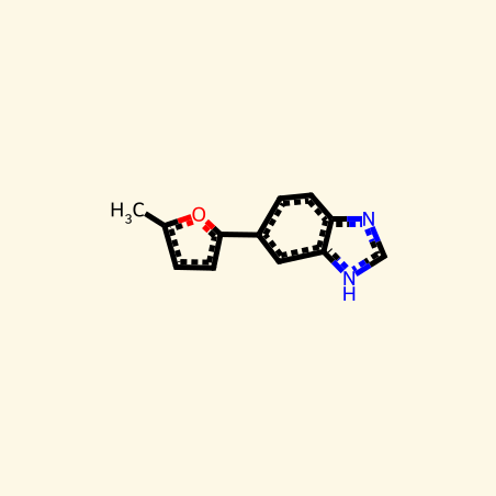 Cc1ccc(-c2ccc3nc[nH]c3c2)o1